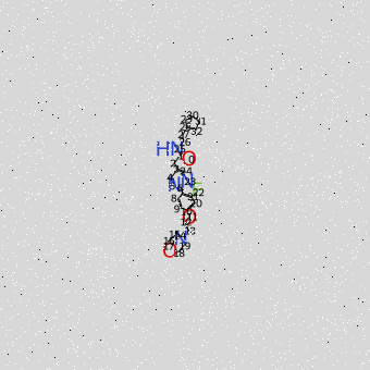 O=C(Cc1cnc(-c2ccc(OCCN3CCOCC3)cc2F)nc1)NCCC1CCCC1